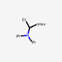 CCCCCCC(CC)N(C(C)C)C(C)C